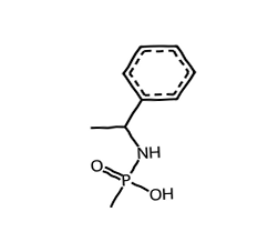 CC(NP(C)(=O)O)c1ccccc1